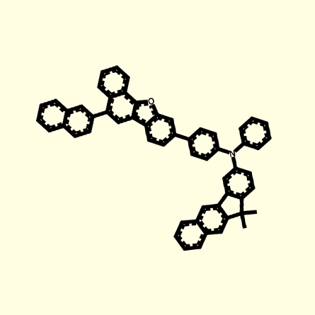 CC1(C)c2ccc(N(c3ccccc3)c3ccc(-c4ccc5c(c4)oc4c6ccccc6c(-c6ccc7ccccc7c6)cc54)cc3)cc2-c2cc3ccccc3cc21